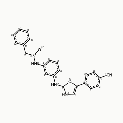 N#Cc1ccc(C2=CNC(Nc3cccc(N[S+]([O-])Cc4ccccc4)c3)O2)cc1